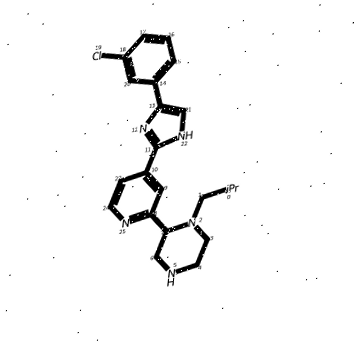 CC(C)CN1CCNCC1c1cc(-c2nc(-c3cccc(Cl)c3)c[nH]2)ccn1